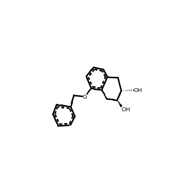 O[C@H]1Cc2cccc(OCc3ccccc3)c2C[C@@H]1O